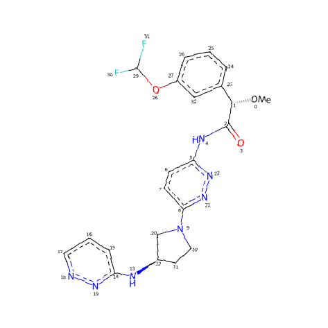 CO[C@H](C(=O)Nc1ccc(N2CC[C@@H](Nc3cccnn3)C2)nn1)c1cccc(OC(F)F)c1